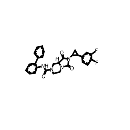 O=C(Nc1ccccc1-c1ccccc1)N1CCN2C(=O)N(C3CC3c3ccc(F)c(F)c3)C(=O)[C@@H]2C1